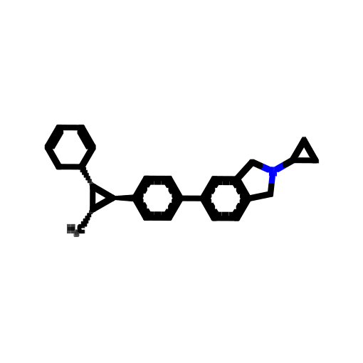 C[C@H]1[C@H](c2ccc(-c3ccc4c(c3)CN(C3CC3)C4)cc2)[C@H]1C1C=CC=CC1